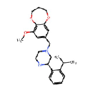 COc1cc(CN2CCN[C@H](c3ccccc3C(C)C)C2)cc2c1OCCCO2